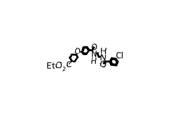 CCOC(=O)[C@H]1CC[C@@H](Oc2ccc(C(=O)NCCNC(=O)c3cccc(Cl)c3)cc2)CC1